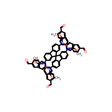 COc1ccc(N(c2ccc(C=O)cc2)c2ccc3c(c2)C2(c4cc(N(c5ccc(C=O)cc5)c5ccc(OC)cc5)ccc4-3)c3cc(N(c4ccc(C=O)cc4)c4ccc(OC)cc4)ccc3-c3ccc(N(c4ccc(C=O)cc4)c4ccc(OC)cc4)cc32)cc1